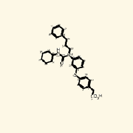 O=C(O)Cc1ccc(Sc2cccc(N(CCCc3ccccc3)C(=O)NC3CCCCC3)c2)cc1